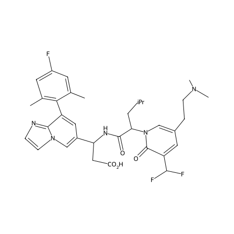 Cc1cc(F)cc(C)c1-c1cc(C(CC(=O)O)NC(=O)C(CC(C)C)n2cc(CCN(C)C)cc(C(F)F)c2=O)cn2ccnc12